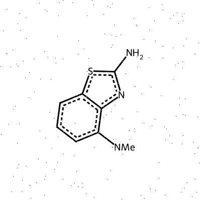 CNc1cccc2sc(N)nc12